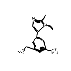 Cc1ncc(-c2cc(N)cc(C(F)(F)F)c2)n1C